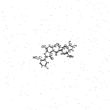 Cc1ccc(C(=O)O)c(N2Cc3c(Cl)cc(F)c(Nc4c(N[C@@H](c5cc(C)c(C)o5)C(C)(C)C)c(=O)c4=O)c3C2=O)c1